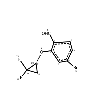 O=Cc1ccc(Br)cc1O[C@@H]1CC1(F)F